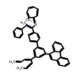 C=C/C=C(\C=C/C)c1cc(-c2ccc(C(/N=c3/cccccc3C)=C(/C)c3ccccc3)cc2)cc(-c2cc3ccccc3c3ccccc23)c1